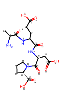 C[C@H](N)C(=O)N[C@@H](CCC(=O)O)C(=O)N[C@@H](CC(=O)O)C(=O)N1CCC[C@H]1C(=O)O